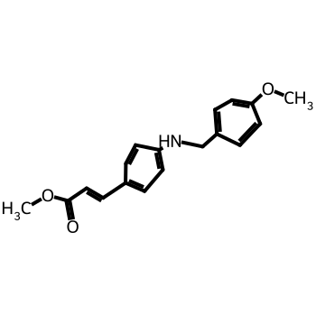 COC(=O)/C=C/c1ccc(NCc2ccc(OC)cc2)cc1